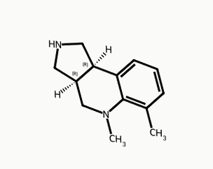 Cc1cccc2c1N(C)C[C@H]1CNC[C@@H]21